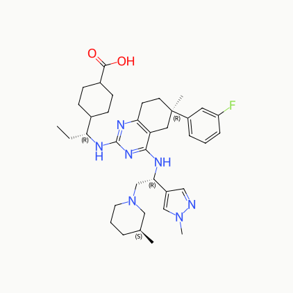 CC[C@@H](Nc1nc2c(c(N[C@@H](CN3CCC[C@H](C)C3)c3cnn(C)c3)n1)C[C@](C)(c1cccc(F)c1)CC2)C1CCC(C(=O)O)CC1